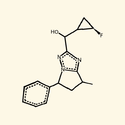 CC1CC(c2ccccc2)n2nc(C(O)C3C[C@H]3F)nc21